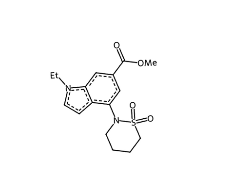 CCn1ccc2c(N3CCCCS3(=O)=O)cc(C(=O)OC)cc21